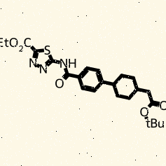 CCOC(=O)c1nnc(NC(=O)c2ccc(C3CCC(CC(=O)OC(C)(C)C)CC3)cc2)s1